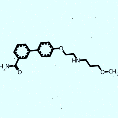 COCCCNCCOc1ccc(-c2cccc(C(N)=O)c2)cc1